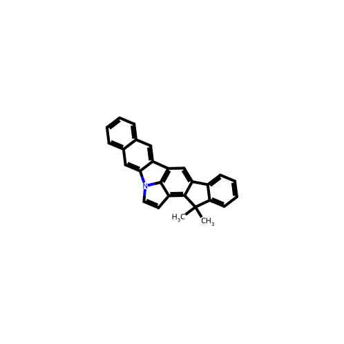 CC1(C)c2ccccc2-c2cc3c4cc5ccccc5cc4n4ccc(c21)c34